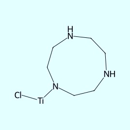 [Cl][Ti][N]1CCNCCNCC1